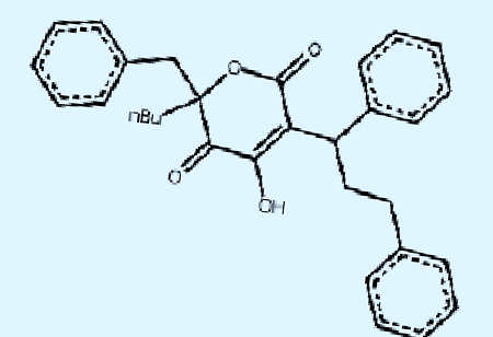 CCCCC1(Cc2ccccc2)OC(=O)C(C(CCc2ccccc2)c2ccccc2)=C(O)C1=O